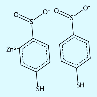 O=S([O-])c1ccc(S)cc1.O=S([O-])c1ccc(S)cc1.[Zn+2]